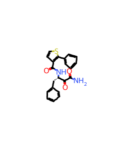 NC(=O)C(=O)[C@H](Cc1ccccc1)NC(=O)c1ccsc1-c1ccccc1